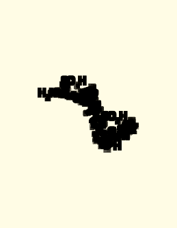 Cc1c(-c2ccc(N3CCc4cccc(C(=O)Nc5nc6ccccc6s5)c4C3)nc2C(=O)O)cnn1CC12CC3CC(C1)CC(OCCN(CCN)CCS(=O)(=O)O)(C3)C2(C)C